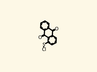 O=C1c2ccccc2C(=O)c2c(SCl)cccc21